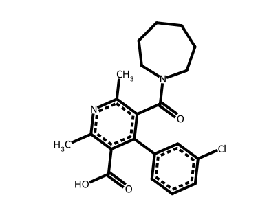 Cc1nc(C)c(C(=O)N2CCCCCC2)c(-c2cccc(Cl)c2)c1C(=O)O